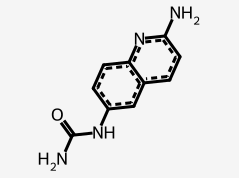 NC(=O)Nc1ccc2nc(N)ccc2c1